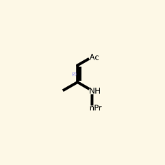 CCCN/C(C)=C\C(C)=O